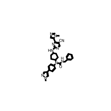 Cn1cc(-c2ccc(N(C(=O)NCc3ccccc3)C3CCC(Nc4ncc(C#N)c(-c5cncn5C)n4)CC3)cc2)cn1